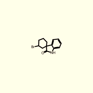 O=C1Nc2ccccc2C12CCCC(Br)C2